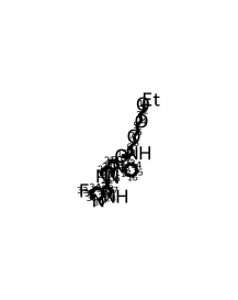 CCOCCOCCOCCNC(=O)[C@@H]1CCCC[C@@H]1n1ccc2cnc(-c3c[nH]c4ncc(F)cc34)nc21